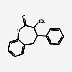 CC(C)(C)C1C(=O)Oc2ccccc2CC1c1ccccc1